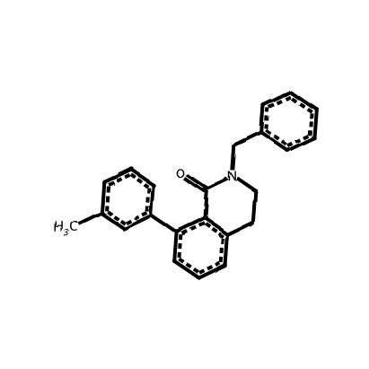 Cc1cccc(-c2cccc3c2C(=O)N(Cc2ccccc2)CC3)c1